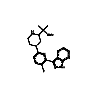 COC(C)(C)C1CN(c2ccc(F)c(-c3n[nH]c4ncccc34)n2)CCN1